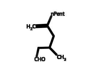 C=C(CCCCC)CC(C)CC=O